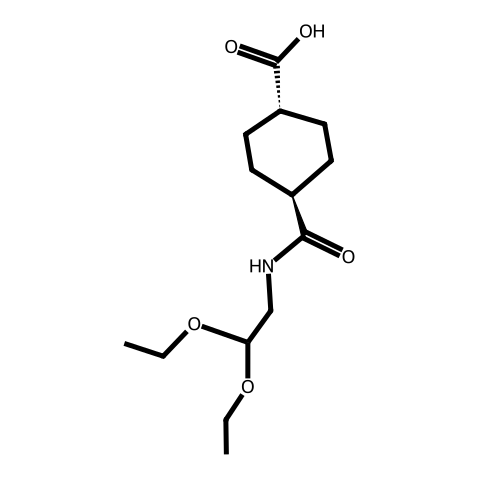 CCOC(CNC(=O)[C@H]1CC[C@H](C(=O)O)CC1)OCC